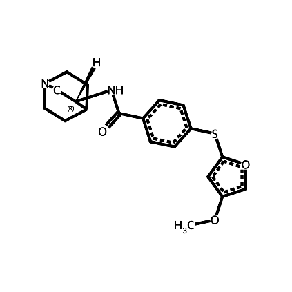 COc1coc(Sc2ccc(C(=O)N[C@H]3CN4CCC3CC4)cc2)c1